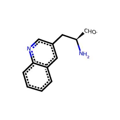 N[C@H]([C]=O)Cc1cnc2ccccc2c1